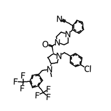 CN(Cc1cc(C(F)(F)F)cc(C(F)(F)F)c1)[C@H]1C[C@@H](C(=O)N2CCN(c3ccccc3C#N)CC2)N(Cc2ccc(Cl)cc2)C1